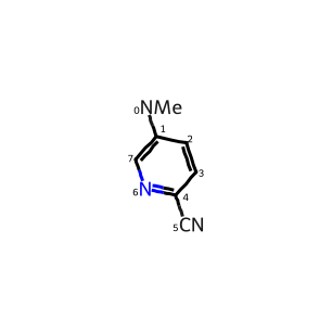 CNc1ccc(C#N)nc1